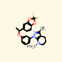 CC(Oc1cccc(-n2nc(C(F)(F)F)c3c2N(C(=O)O)CCC3)c1)c1ccc2c(c1)OC(F)(F)O2